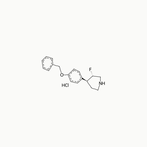 Cl.F[C@@H]1CNCC[C@H]1c1ccc(OCc2ccccc2)cc1